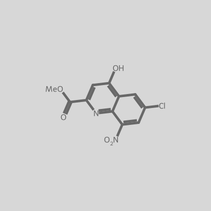 COC(=O)c1cc(O)c2cc(Cl)cc([N+](=O)[O-])c2n1